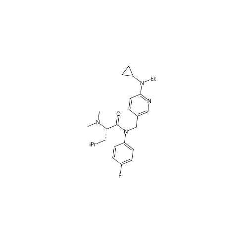 CCN(c1ccc(CN(C(=O)[C@H](CC(C)C)N(C)C)c2ccc(F)cc2)cn1)C1CC1